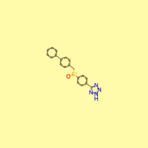 [O-][S+](Cc1ccc(-c2ccccc2)cc1)c1ccc(-c2nn[nH]n2)cc1